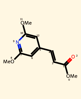 COC(=O)C=Cc1cc(OC)nc(OC)c1